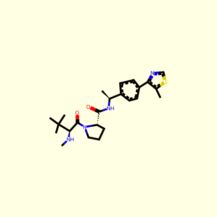 CN[C@H](C(=O)N1CCC[C@H]1C(=O)N[C@@H](C)c1ccc(-c2ncsc2C)cc1)C(C)(C)C